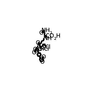 Cl.NC(=O)CC[C@H](NCCCCC(=O)N(C[C@H]1CN(c2ccc(N3CCOCC3=O)cc2)C(=O)O1)C(=O)c1ccc(Cl)s1)C(=O)O